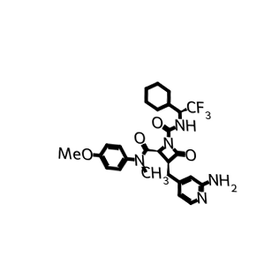 COc1ccc(N(C)C(=O)[C@@H]2[C@H](Cc3ccnc(N)c3)C(=O)N2C(=O)N[C@@H](C2CCCCC2)C(F)(F)F)cc1